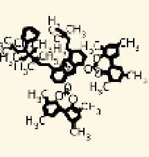 CCC(C)(C)CCc1ccc(Op2oc3c(C)cc(C)cc3c3cc(C)cc(C)c3o2)c2c1C1CCC2c2c(Op3oc4c(C)cc(C)cc4c4cc(C)cc(C)c4o3)ccc(CCC(C)(C)C(CC)(CC)C(CC(C)(C)C)c3ccccc3)c21